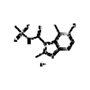 Cc1c(Cl)ccc2sc(C)[n+](C(=O)NS(C)(=O)=O)c12.[Br-]